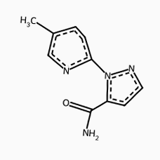 Cc1ccc(-n2nccc2C(N)=O)nc1